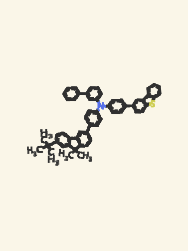 CC(C)(C)c1ccc2c(c1)C(C)(C)c1ccc(-c3ccc(N(c4ccc(-c5ccc6sc7ccccc7c6c5)cc4)c4cccc(-c5ccccc5)c4)cc3)cc1-2